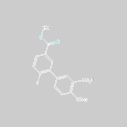 COc1ccc(-c2cc(C(=O)OC(C)(C)C)ccc2F)cc1C(=O)O